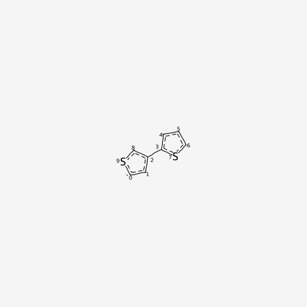 [c]1cc(-c2cccs2)cs1